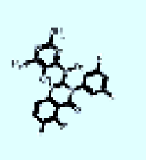 CCN(c1nc(N)nc(N)c1C#N)c1nc2ccc(F)c(F)c2c(=O)n1-c1cc(F)cc(F)c1